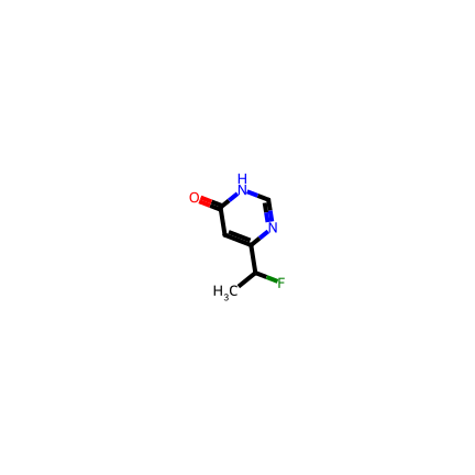 CC(F)c1cc(=O)[nH]cn1